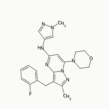 Cc1nn2c(N3CCOCC3)cc(Nc3cnn(C)c3)nc2c1Cc1ccccc1F